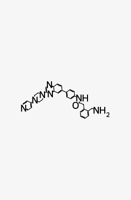 NCc1ccccc1CC(=O)Nc1ccc(-c2ccc3ncc(N4CCN(c5ccncc5)CC4)nc3c2)cc1